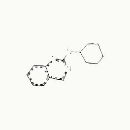 c1ccc2nc(NC3CCCCC3)ncc2c1